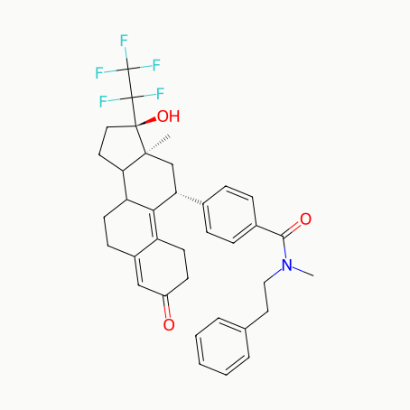 CN(CCc1ccccc1)C(=O)c1ccc([C@H]2C[C@@]3(C)C(CC[C@]3(O)C(F)(F)C(F)(F)F)C3CCC4=CC(=O)CCC4=C32)cc1